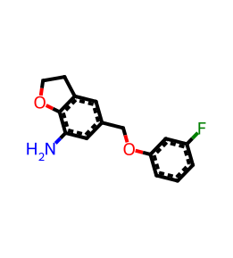 Nc1cc(COc2cccc(F)c2)cc2c1OCC2